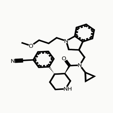 COCCCN1CC(CN(C(=O)[C@H]2CNCC[C@@H]2c2cccc(C#N)c2)C2CC2)c2ccccc21